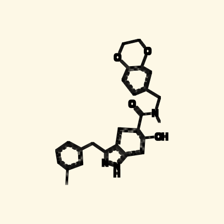 Cc1cccc(Cc2n[nH]c3cc(O)c(C(=O)N(C)Cc4ccc5c(c4)OCCO5)cc23)c1